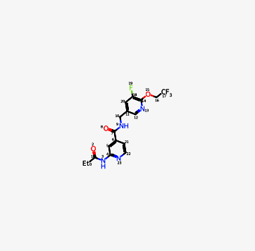 CCC(=O)Nc1cc(C(=O)NCc2cnc(OCC(F)(F)F)c(F)c2)ccn1